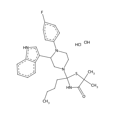 CCCCC1(N2CCN(c3ccc(F)cc3)C(c3c[nH]c4ccccc34)C2)NC(=O)C(C)(C)S1.Cl.Cl